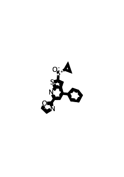 [O-][S+](c1cc2c(-c3ccccc3)cc(-c3ncco3)nc2s1)C1CC1